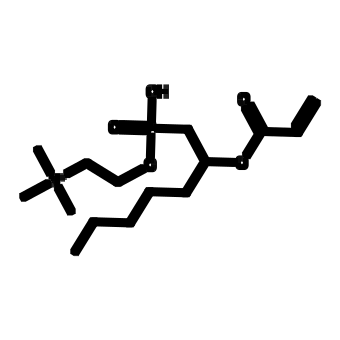 C=CC(=O)OC(CCCCC)CP(=O)(O)OCC[N+](C)(C)C